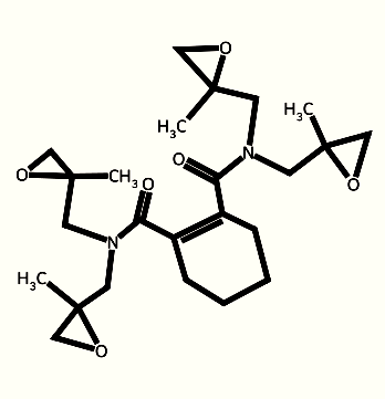 CC1(CN(CC2(C)CO2)C(=O)C2=C(C(=O)N(CC3(C)CO3)CC3(C)CO3)CCCC2)CO1